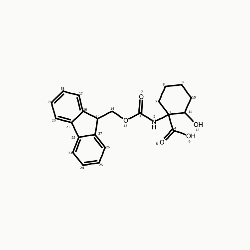 O=C(NC1(C(=O)O)CCCCC1O)OCC1c2ccccc2-c2ccccc21